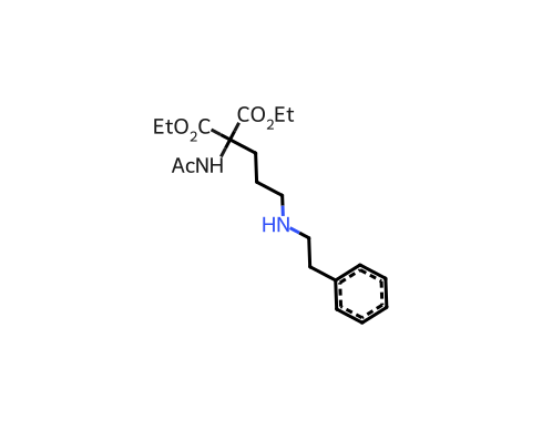 CCOC(=O)C(CCCNCCc1ccccc1)(NC(C)=O)C(=O)OCC